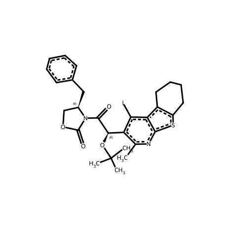 Cc1nc2sc3c(c2c(I)c1[C@@H](OC(C)(C)C)C(=O)N1C(=O)OC[C@H]1Cc1ccccc1)CCCC3